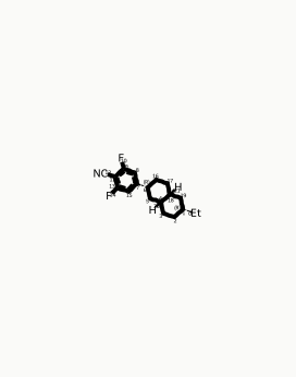 CC[C@@H]1CC[C@@H]2C[C@H](c3cc(F)c(C#N)c(F)c3)CC[C@@H]2C1